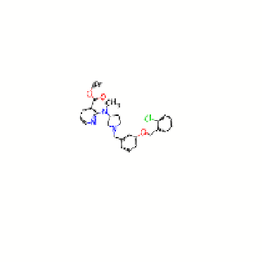 CC(C)OC(=O)c1cccnc1N(C)[C@H]1CCN(Cc2cccc(OCc3ccccc3Cl)c2)C1